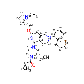 C=CC(=O)N1CCN(c2nc(OC[C@@H]3CCCN3C)cc3c2CCN(c2cccc4c2CCCS4)C3)C[C@@H]1CC#N